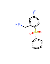 NCc1cc(N)ccc1S(=O)(=O)c1ccccc1